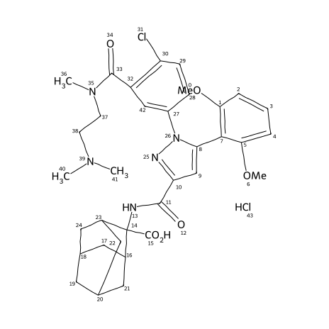 COc1cccc(OC)c1-c1cc(C(=O)NC2(C(=O)O)C3CC4CC(C3)CC2C4)nn1-c1ccc(Cl)c(C(=O)N(C)CCN(C)C)c1.Cl